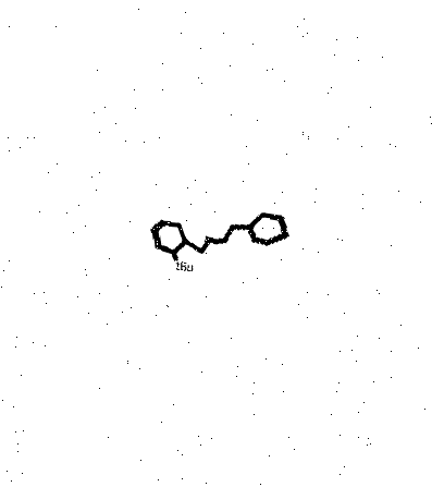 CC(C)(C)C1CCCCC1CCCC[C]1CCCCC1